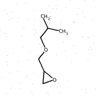 [CH2]C(C)COCC1CO1